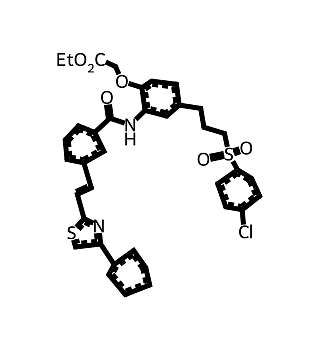 CCOC(=O)COc1ccc(CCCS(=O)(=O)c2ccc(Cl)cc2)cc1NC(=O)c1cccc(/C=C/c2nc(-c3ccccc3)cs2)c1